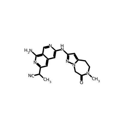 CC(C#N)c1cc2cc(Nc3cc4n(n3)CC(=O)N(C)CC4)ncc2c(N)n1